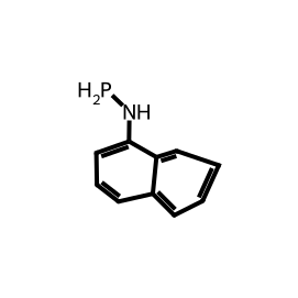 PNc1cccc2ccccc12